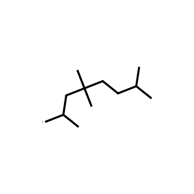 [CH2]C(C)CC(C)(C)CCC(C)C